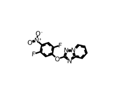 O=[N+]([O-])c1cc(F)c(Oc2nc3ccccn3n2)cc1F